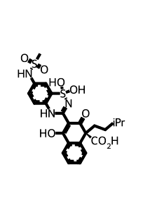 CC(C)CC[C@@]1(C(=O)O)C(=O)C(C2=NS(O)(O)c3cc(NS(C)(=O)=O)ccc3N2)=C(O)c2ccccc21